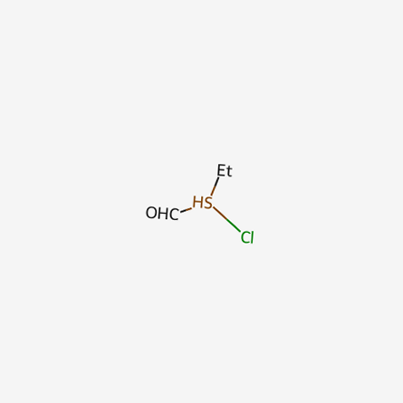 CC[SH](Cl)C=O